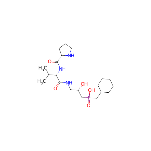 CC(C)[C@H](NC(=O)[C@@H]1CCCN1)C(=O)NC[C@H](O)CP(=O)(O)CC1CCCCC1